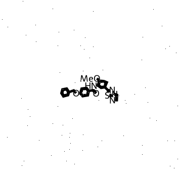 COc1ccc(-c2nn3ccnc3s2)cc1NC(=O)c1ccc(OCc2ccccc2)cc1